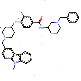 CCn1c2ccccc2c2cc(CN3CCC(Oc4ccc(C(=O)NC5CCCN(Cc6ccccc6)C5)cc4Cl)CC3)ccc21